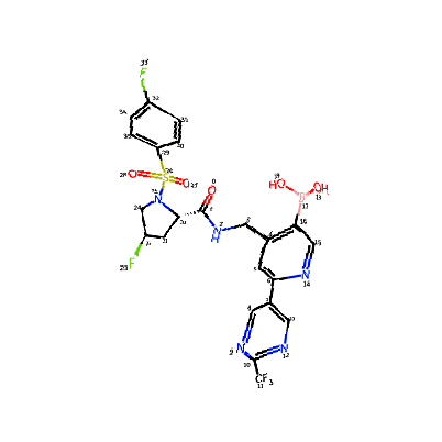 O=C(NCc1cc(-c2cnc(C(F)(F)F)nc2)ncc1B(O)O)[C@@H]1C[C@@H](F)CN1S(=O)(=O)c1ccc(F)cc1